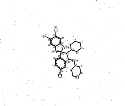 O=C(NC1CCOCC1)C(C1CCCCC1)C1(c2ccc(Cl)cc2)Nc2cc(F)c(Cl)cc2N1